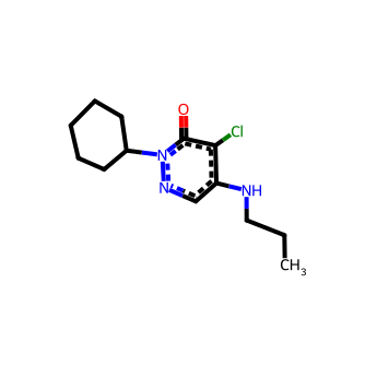 CCCNc1cnn(C2CCCCC2)c(=O)c1Cl